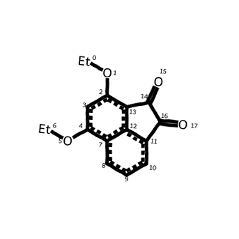 CCOc1cc(OCC)c2cccc3c2c1C(=O)C3=O